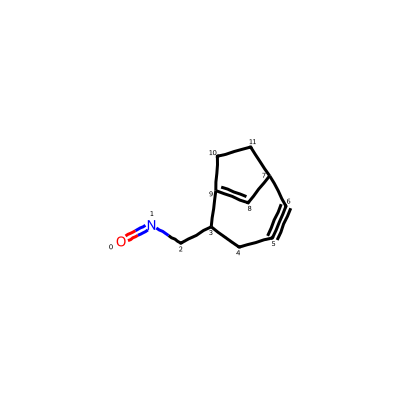 O=NCC1CC#CC2C=C1CC2